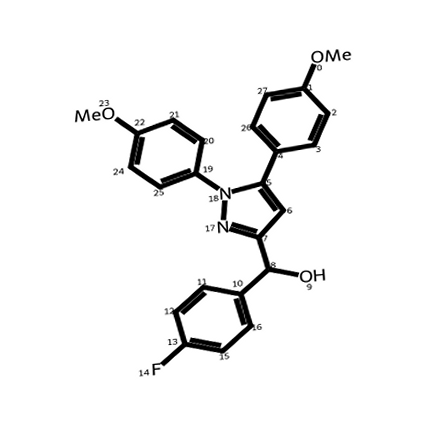 COc1ccc(-c2cc(C(O)c3ccc(F)cc3)nn2-c2ccc(OC)cc2)cc1